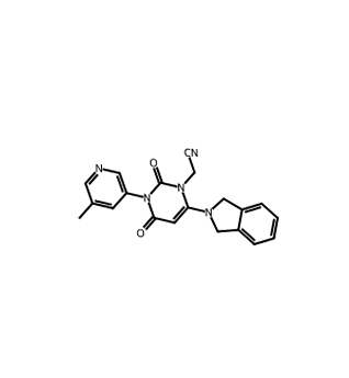 Cc1cncc(-n2c(=O)cc(N3Cc4ccccc4C3)n(CC#N)c2=O)c1